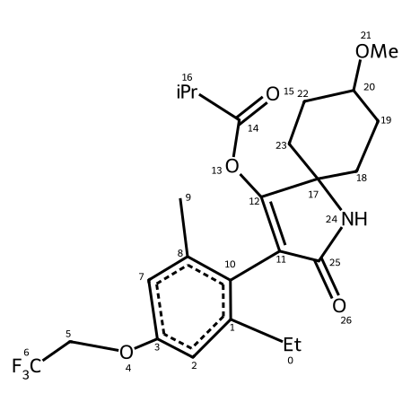 CCc1cc(OCC(F)(F)F)cc(C)c1C1=C(OC(=O)C(C)C)C2(CCC(OC)CC2)NC1=O